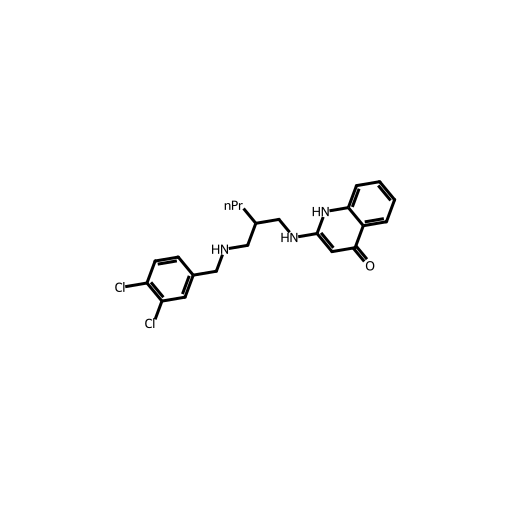 CCCC(CNCc1ccc(Cl)c(Cl)c1)CNc1cc(=O)c2ccccc2[nH]1